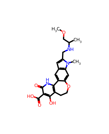 COCC(C)NCc1cc2cc3c(cc2n1C)OCCc1c-3[nH]c(=O)c(C(=O)O)c1O